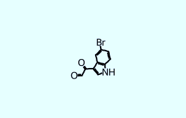 O=CC(=O)c1c[nH]c2ccc(Br)cc12